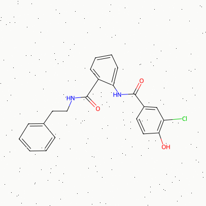 O=C(Nc1ccccc1C(=O)NCCc1ccccc1)c1ccc(O)c(Cl)c1